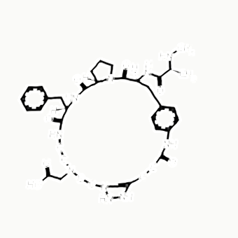 CN[C@@H](C)C(=O)N[C@H]1Cc2ccc(cc2)NC(=O)CCC2=CN(CCN(CC(=O)O)CCNC(=O)[C@H](Cc3ccccc3)NC(=O)[C@@H]3CCCN3C1=O)NN2